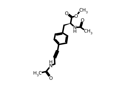 COC(=O)[C@H](Cc1ccc(C#CCNC(C)=O)cc1)NC(C)=O